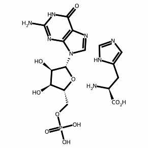 N[C@@H](Cc1cnc[nH]1)C(=O)O.Nc1nc2c(ncn2[C@@H]2O[C@H](COP(=O)(O)O)[C@@H](O)[C@H]2O)c(=O)[nH]1